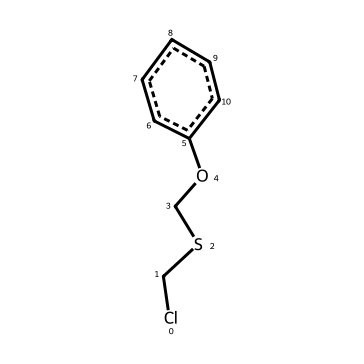 ClCSCOc1ccccc1